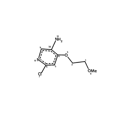 COCCOc1cc(Cl)ncc1N